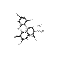 Cl.O=C(O)c1cn(-c2c(F)cc(F)cc2F)c2nc(Cl)c(F)cc2c1=O